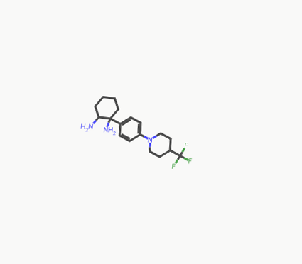 NC1CCCCC1(N)c1ccc(N2CCC(C(F)(F)F)CC2)cc1